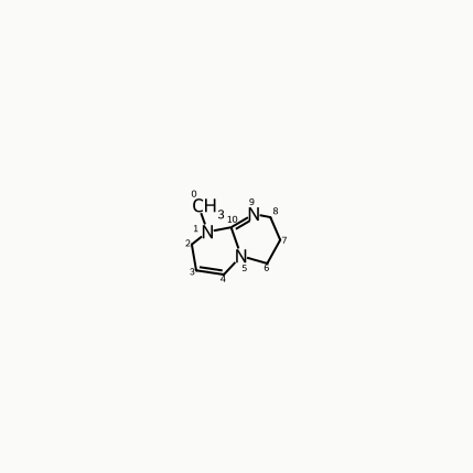 CN1CC=CN2CCCN=C12